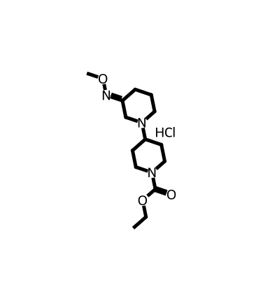 CCOC(=O)N1CCC(N2CCCC(=NOC)C2)CC1.Cl